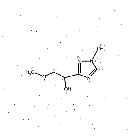 COCC(O)c1ncn(C)n1